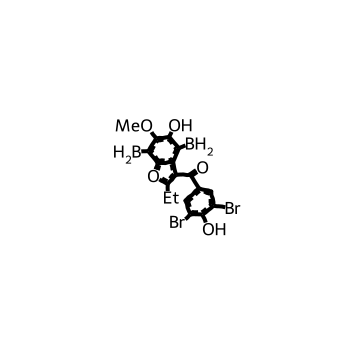 Bc1c(OC)c(O)c(B)c2c(C(=O)c3cc(Br)c(O)c(Br)c3)c(CC)oc12